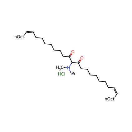 CCCCCCCC/C=C\CCCCCCCC(=O)C(C(=O)CCCCCCC/C=C\CCCCCCCC)N(C)C(C)C.Cl